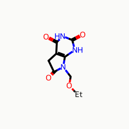 CCOCN1C(=O)Cc2c1[nH]c(=O)[nH]c2=O